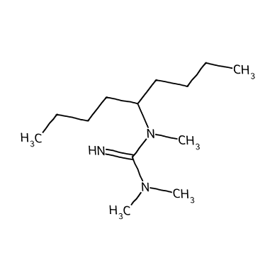 CCCCC(CCCC)N(C)C(=N)N(C)C